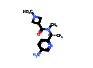 CN(C(=O)C1CN(C(=O)O)C1)[C@@H](c1ccc(N)cn1)C(F)(F)F